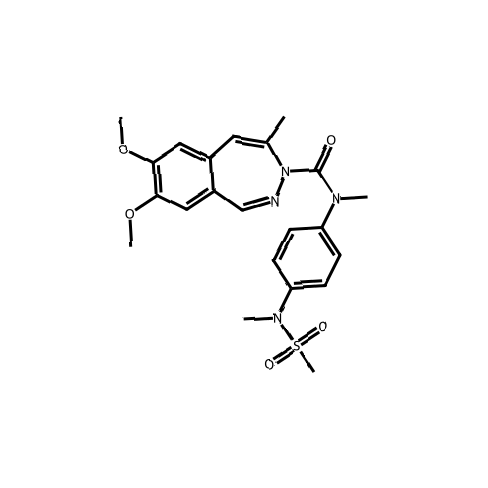 COc1cc2c(cc1OC)C=C(C)N(C(=O)N(C)c1ccc(N(C)S(C)(=O)=O)cc1)N=C2